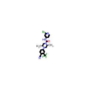 C[C@@H]1CN(c2ccc(C#N)c(C(F)(F)F)c2)[C@@H](C)CN1C(=O)Nc1ccnc(Br)c1